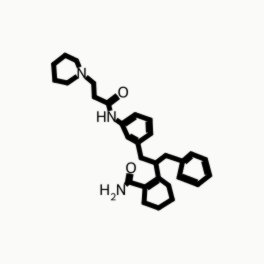 NC(=O)C1=C(C(Cc2ccccc2)Cc2cccc(NC(=O)CCN3CCCCC3)c2)CCCC1